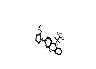 COC[C@@H]1CCCN1c1ccc2c(n1)Oc1ccccc1[C@@H]2C(C)(C)C(=O)O